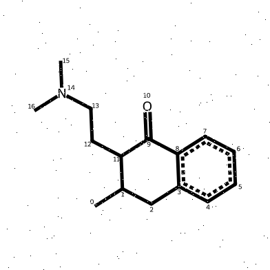 CC1Cc2ccccc2C(=O)C1CCN(C)C